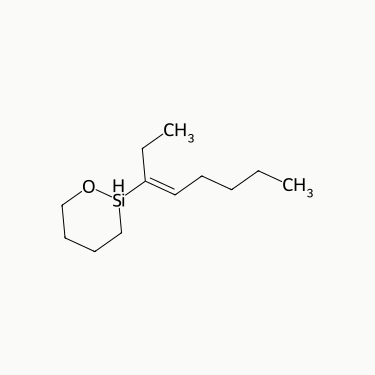 CCCC/C=C(\CC)[SiH]1CCCCO1